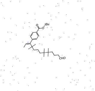 C/C=C(/c1ccc(C(=O)OC(C)(C)C)cc1)C(C)(C)CCCC(C)(C)C(C)(C)CCCC=O